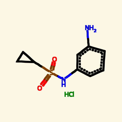 Cl.Nc1cccc(NS(=O)(=O)C2CC2)c1